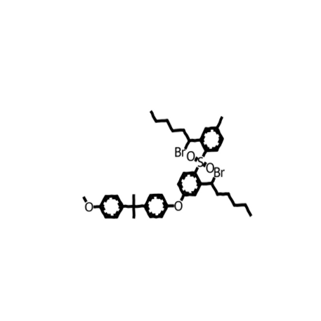 CCCCCC(Br)c1cc(C)ccc1S(=O)(=O)c1ccc(Oc2ccc(C(C)(C)c3ccc(OC)cc3)cc2)cc1C(Br)CCCCC